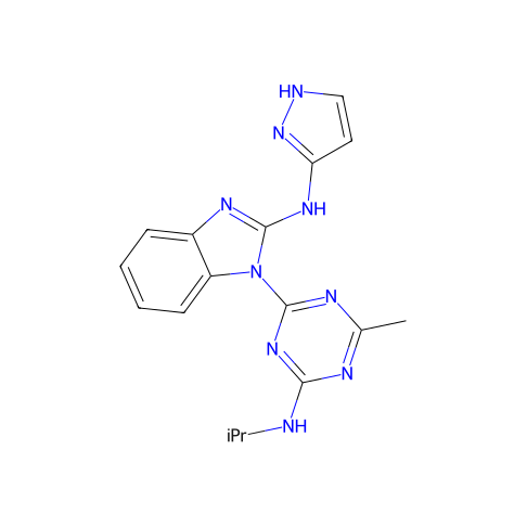 Cc1nc(NC(C)C)nc(-n2c(Nc3cc[nH]n3)nc3ccccc32)n1